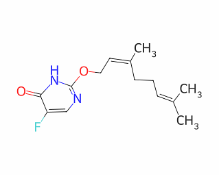 CC(C)=CCCC(C)=CCOc1ncc(F)c(=O)[nH]1